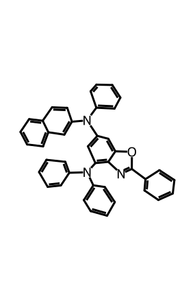 c1ccc(-c2nc3c(N(c4ccccc4)c4ccccc4)cc(N(c4ccccc4)c4ccc5ccccc5c4)cc3o2)cc1